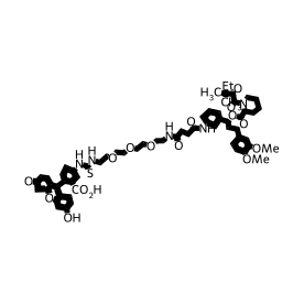 CCC(C)(C)C(=O)C(=O)N1CCCCC1C(=O)OC(CCc1ccc(OC)c(OC)c1)c1cccc(NC(=O)CCC(=O)NCCOCCOCCOCCNC(=S)Nc2ccc(-c3c4ccc(=O)cc-4oc4cc(O)ccc34)c(C(=O)O)c2)c1